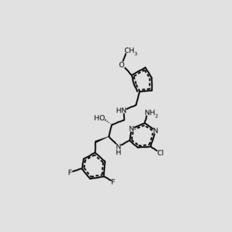 COc1cccc(CNC[C@@H](O)[C@H](Cc2cc(F)cc(F)c2)Nc2cc(Cl)nc(N)n2)c1